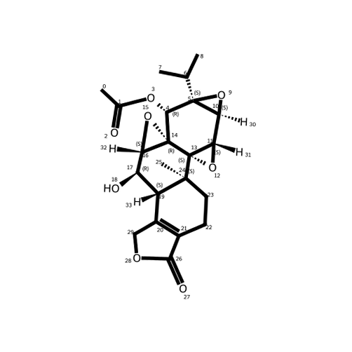 CC(=O)O[C@@H]1[C@@]2(C(C)C)O[C@H]2[C@@H]2O[C@]23[C@]12O[C@H]2[C@H](O)[C@H]1C2=C(CC[C@@]13C)C(=O)OC2